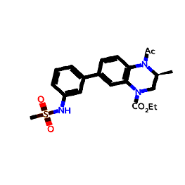 CCOC(=O)N1C[C@H](C)N(C(C)=O)c2ccc(-c3cccc(NS(C)(=O)=O)c3)cc21